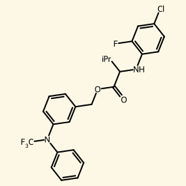 CC(C)C(Nc1ccc(Cl)cc1F)C(=O)OCc1cccc(N(c2ccccc2)C(F)(F)F)c1